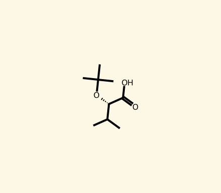 CC(C)[C@H](OC(C)(C)C)C(=O)O